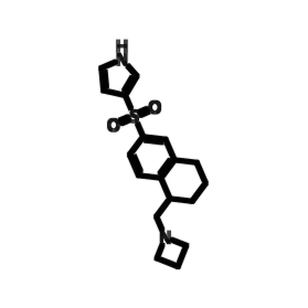 O=S(=O)(c1cc[nH]c1)c1ccc2c(c1)CCCC2CN1CCC1